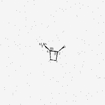 [CH2][C@H]1CC[C@H]1N